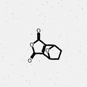 O=C1OC(=O)C2=C1C1CCC2O1